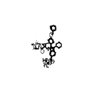 C[C@@H]1CN(C(=O)C23CC2c2cc(OCc4ccccc4)ccc2-c2c(C4CCCCC4)c4ccc(C(=O)NS(=O)(=O)N(C)C)cc4n2C3)C[C@H](C)N1C